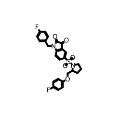 O=C1C(=O)N(Cc2ccc(F)cc2)c2ccc(S(=O)(=O)N3CCCC3COc3ccc(F)cc3)cc21